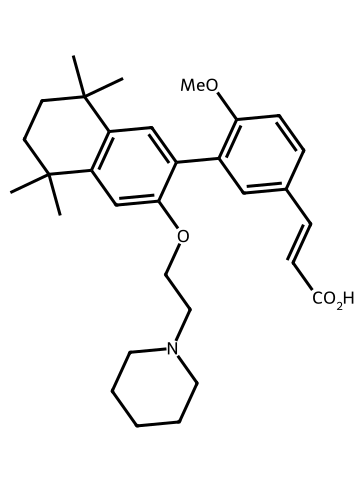 COc1ccc(C=CC(=O)O)cc1-c1cc2c(cc1OCCN1CCCCC1)C(C)(C)CCC2(C)C